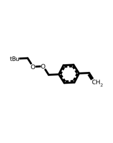 C=Cc1ccc(COOCC(C)(C)C)cc1